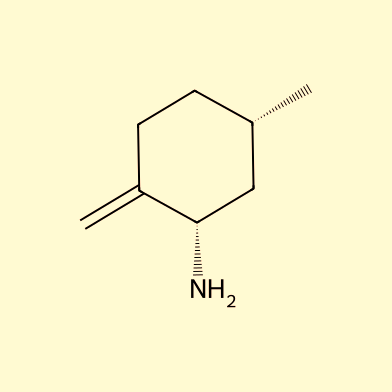 C=C1CC[C@H](C)C[C@@H]1N